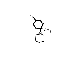 CC(C)C1[CH]CC(C)(N2CCCCC2)CC1